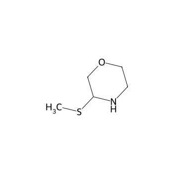 CSC1COCCN1